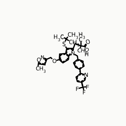 Cc1cc(COc2ccc3c(c2)c(SC(C)(C)C)c(CC(C)(C)C(=O)O)n3Cc2ccc(-c3ccc(C(F)(F)F)cn3)cc2)no1